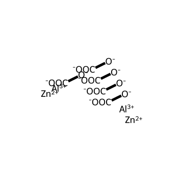 O=C([O-])[O-].O=C([O-])[O-].O=C([O-])[O-].O=C([O-])[O-].O=C([O-])[O-].[Al+3].[Al+3].[Zn+2].[Zn+2]